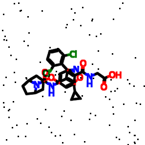 O=C(O)CNC(=O)c1ccc(NC(=O)N2C3CCC2CC(OCc2c(-c4c(Cl)cccc4Cl)noc2C2CC2)C3)cc1